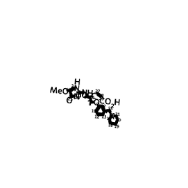 COc1c[nH]c(NCCCOc2cccc(CN3CCCCC3)c2)nc1=O.O=C(O)/C=C\C(=O)O